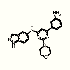 Nc1cccc(-c2cc(Nc3ccc4[nH]ncc4c3)nc(N3CCOCC3)n2)c1